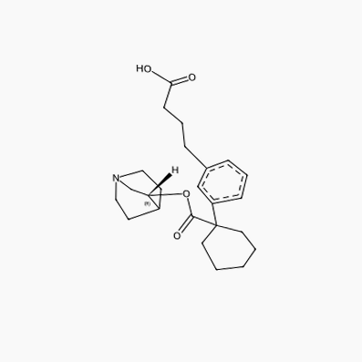 O=C(O)CCCc1cccc(C2(C(=O)O[C@H]3CN4CCC3CC4)CCCCC2)c1